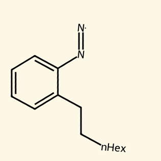 CCCCCCCCc1ccccc1N=[N]